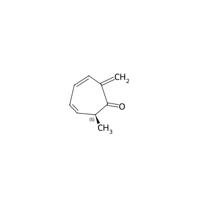 C=C1C=CC=C[C@H](C)C1=O